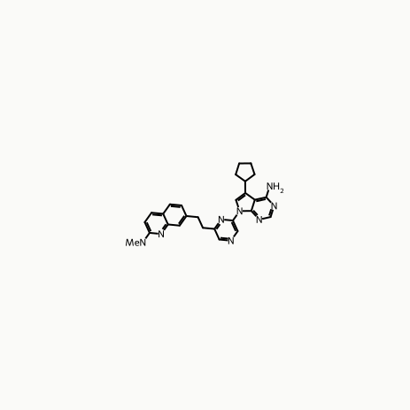 CNc1ccc2ccc(CCc3cncc(-n4cc(C5CCCC5)c5c(N)ncnc54)n3)cc2n1